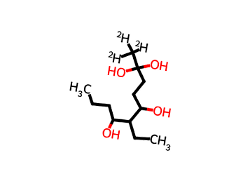 [2H]C([2H])([2H])C(O)(O)CCC(O)C(CC)C(O)CCC